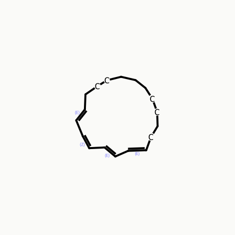 C1=C\C=C\CCCCCCCCCC/C=C/C=C/1